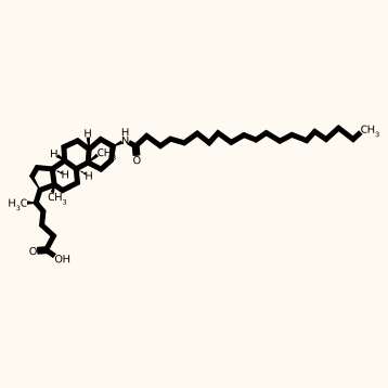 CCCCCCCCCCCCCCCCCCCC(=O)N[C@H]1CC[C@@]2(C)[C@H](CC[C@@H]3[C@@H]2CC[C@]2(C)[C@@H]([C@H](C)CCCC(=O)O)CC[C@@H]32)C1